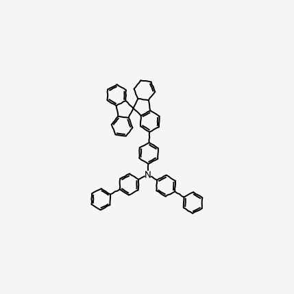 C1=CC2c3ccc(-c4ccc(N(c5ccc(-c6ccccc6)cc5)c5ccc(-c6ccccc6)cc5)cc4)cc3C3(c4ccccc4-c4ccccc43)C2CC1